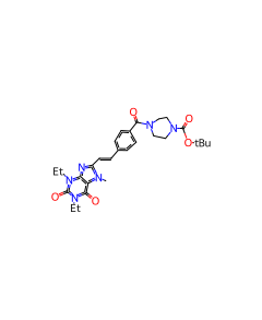 CCn1c(=O)c2c(nc(/C=C/c3ccc(C(=O)N4CCN(C(=O)OC(C)(C)C)CC4)cc3)n2C)n(CC)c1=O